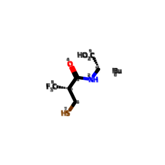 CC[C@H](C)[C@H](NC(=O)[C@H](CS)C(F)(F)F)C(=O)O